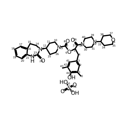 Cc1cc(CC(OC(=O)N2CCC(N3CCc4ccccc4NC3=O)CC2)C(=O)N2CCN(C3CCOCC3)CC2)cc(C)c1O.O=S(=O)(O)O